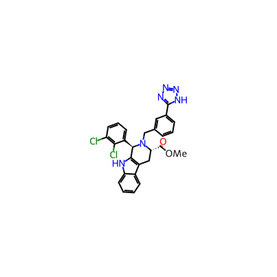 COC(=O)[C@@H]1Cc2c([nH]c3ccccc23)[C@@H](c2cccc(Cl)c2Cl)N1Cc1cccc(-c2nnn[nH]2)c1